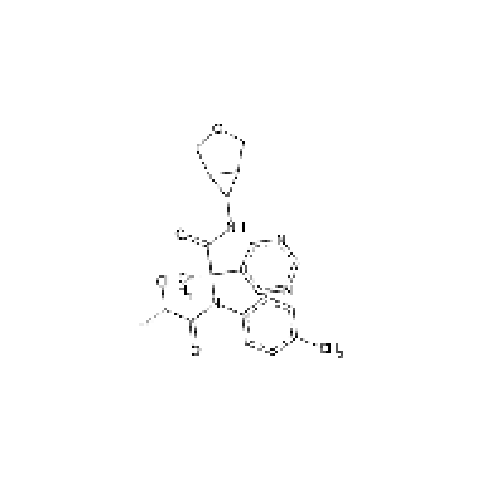 Cc1ccc(N(C(=O)[C@H](F)Cl)[C@@](C)(C(=O)NC2C3COCC32)c2cncnc2)cc1